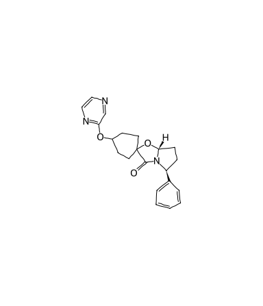 O=C1N2[C@@H](CC[C@H]2c2ccccc2)OC12CCC(Oc1cnccn1)CC2